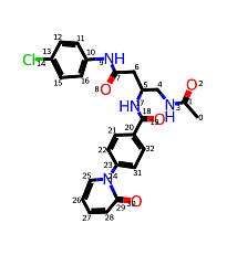 CC(=O)NCC(CC(=O)Nc1ccc(Cl)cc1)NC(=O)c1ccc(-n2ccccc2=O)cc1